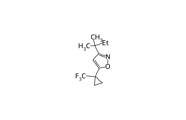 CCC(C)(C)c1cc(C2(C(F)(F)F)CC2)on1